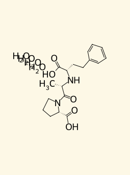 C[C@H](N[C@@H](CCc1ccccc1)C(=O)O)C(=O)N1CCC[C@H]1C(=O)O.O.O.O.O